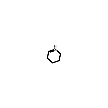 C1=[SiH]CCCC1